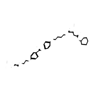 C=C(C)C(=O)OCCOc1ccc(C(=O)Oc2ccc(OCCCCOC(=O)C(=C)CC(=O)OC3CCCCC3)cc2)cc1